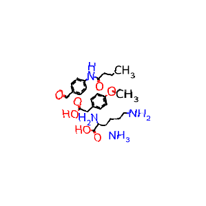 CCCC(=O)Nc1ccc(C=O)cc1.COc1ccc(CC(=O)O)cc1.N.NCCCC[C@H](N)C(=O)O